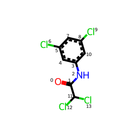 O=C(Nc1cc(Cl)cc(Cl)c1)C(Cl)Cl